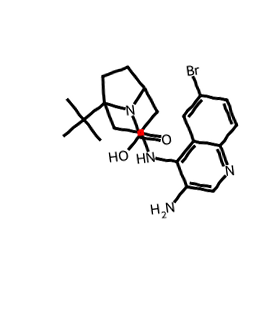 CC(C)(C)C12CCC(CC(Nc3c(N)cnc4ccc(Br)cc34)C1)N2C(=O)O